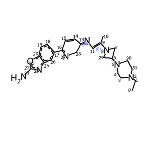 CCN1CCN(C2CN(/C(C)=C/N=C3/C=CC(c4ccc5oc(N)nc5c4)=NC3)C2)CC1